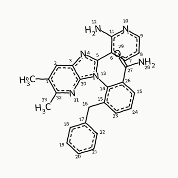 Cc1cc2nc(-c3cccnc3N)n(-c3c(Cc4ccccc4)cccc3C(N)=O)c2nc1C